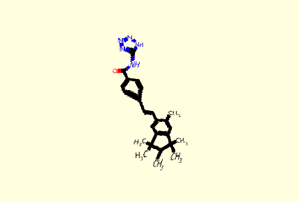 Cc1cc2c(cc1/C=C/c1ccc(C(=O)Nc3nnn[nH]3)cc1)C(C)(C)C(C)C2(C)C